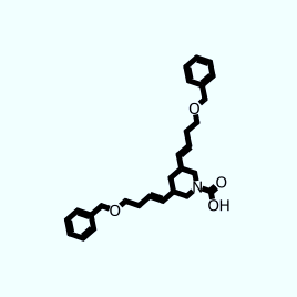 O=C(O)N1CC(C=CCCOCc2ccccc2)CC(C=CCCOCc2ccccc2)C1